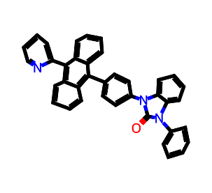 O=c1n(-c2ccccc2)c2ccccc2n1-c1ccc(-c2c3ccccc3c(-c3ccccn3)c3ccccc23)cc1